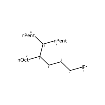 CCCCCCCCC(CCCC(C)C)C(CCCCC)CCCCC